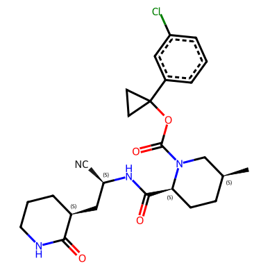 C[C@H]1CC[C@@H](C(=O)N[C@H](C#N)C[C@@H]2CCCNC2=O)N(C(=O)OC2(c3cccc(Cl)c3)CC2)C1